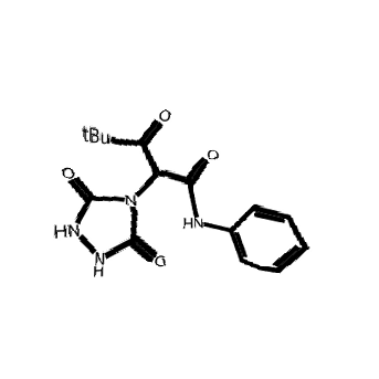 CC(C)(C)C(=O)C(C(=O)Nc1ccccc1)n1c(=O)[nH][nH]c1=O